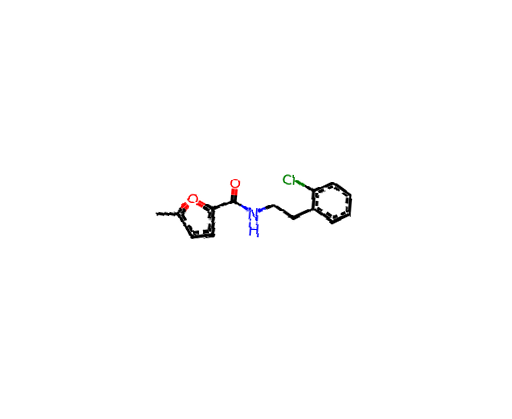 Cc1ccc(C(=O)NCCc2ccccc2Cl)o1